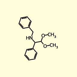 COC(OC)C(NCc1ccccc1)c1ccccc1